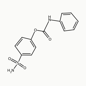 NS(=O)(=O)c1ccc(OC(=O)Nc2ccccc2)cc1